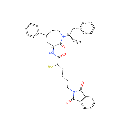 O=C(N[C@H]1CC(c2ccccc2)CCN([C@@H](Cc2ccccc2)C(=O)O)C1=O)C(S)CCCCN1C(=O)c2ccccc2C1=O